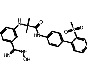 CC(C)(Nc1cccc(C(=N)NO)c1)C(=O)Nc1ccc(-c2ccccc2S(C)(=O)=O)cc1